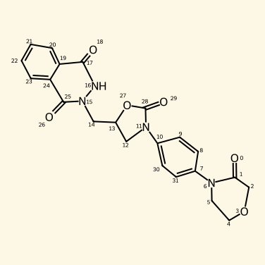 O=C1COCCN1c1ccc(N2CC(Cn3[nH]c(=O)c4ccccc4c3=O)OC2=O)cc1